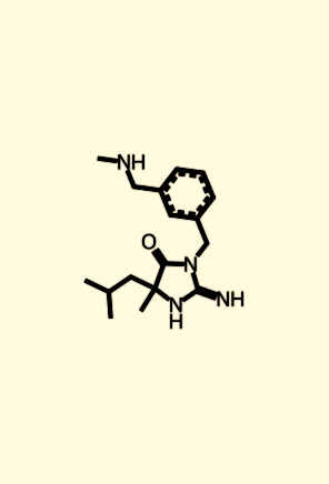 CNCc1cccc(CN2C(=N)NC(C)(CC(C)C)C2=O)c1